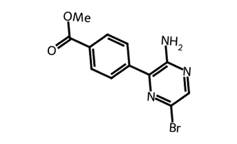 COC(=O)c1ccc(-c2nc(Br)cnc2N)cc1